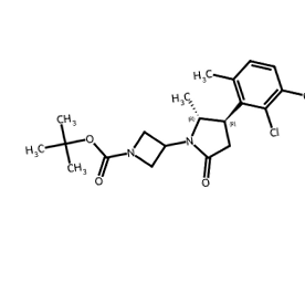 Cc1ccc(Cl)c(Cl)c1[C@H]1CC(=O)N(C2CN(C(=O)OC(C)(C)C)C2)[C@@H]1C